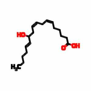 CCCC/C=C/C(O)C/C=C\C/C=C\CCCCC(=O)O